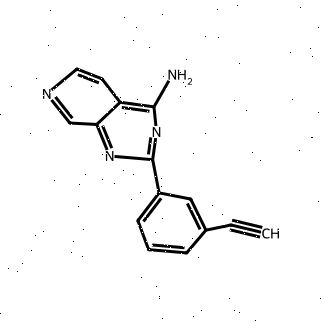 C#Cc1cccc(-c2nc(N)c3ccncc3n2)c1